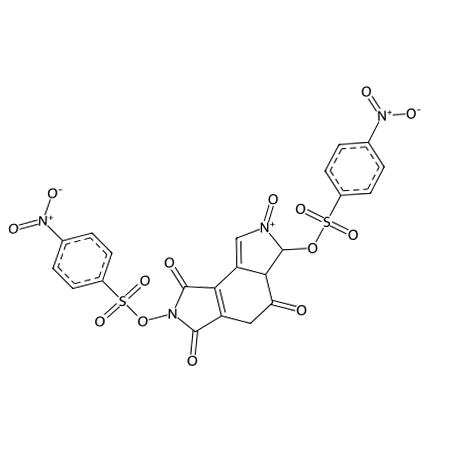 O=C1CC2=C(C(=O)N(OS(=O)(=O)c3ccc([N+](=O)[O-])cc3)C2=O)C2=C[N+](=O)C(OS(=O)(=O)c3ccc([N+](=O)[O-])cc3)C12